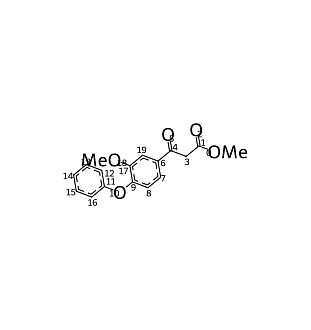 COC(=O)CC(=O)c1ccc(Oc2ccccc2)c(OC)c1